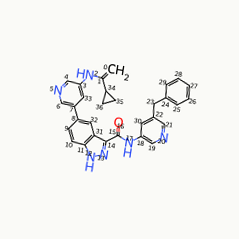 C=C(Nc1cncc(-c2ccc3[nH]nc(C(=O)Nc4cncc(Cc5ccccc5)c4)c3c2)c1)C1CC1